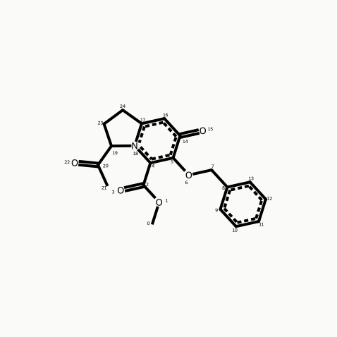 COC(=O)c1c(OCc2ccccc2)c(=O)cc2n1C(C(C)=O)CC2